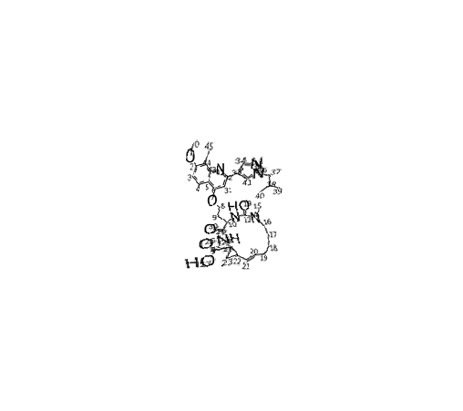 COc1ccc2c(OCCC3NC(=O)N(C)CCCC/C=C/C4CC4(C(=O)O)NC3=O)cc(-c3cnn(CC(C)C)c3)nc2c1C